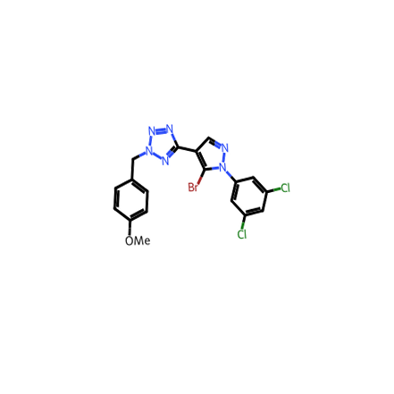 COc1ccc(Cn2nnc(-c3cnn(-c4cc(Cl)cc(Cl)c4)c3Br)n2)cc1